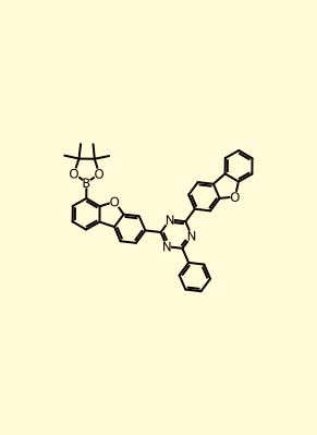 CC1(C)OB(c2cccc3c2oc2cc(-c4nc(-c5ccccc5)nc(-c5ccc6c(c5)oc5ccccc56)n4)ccc23)OC1(C)C